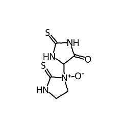 O=C1NC(=S)NC1[N+]1([O-])CCNC1=S